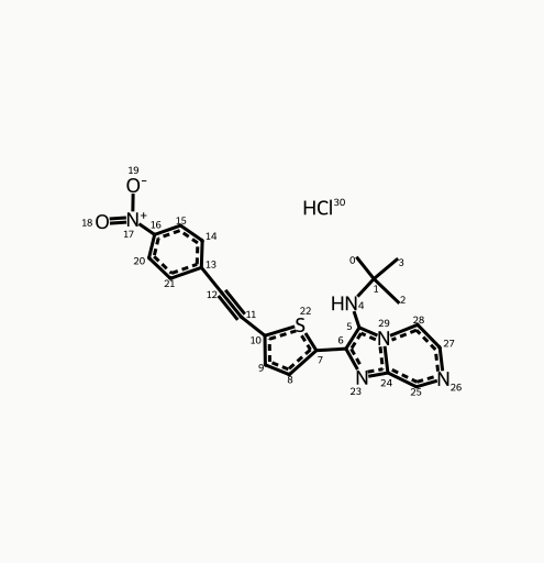 CC(C)(C)Nc1c(-c2ccc(C#Cc3ccc([N+](=O)[O-])cc3)s2)nc2cnccn12.Cl